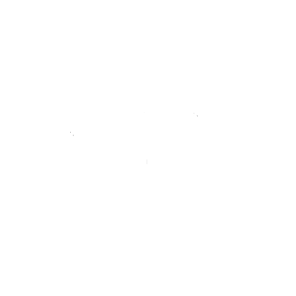 CCNc1cc(F)c2c(c1)OC(C)(C)C(C#N)=C2c1ccc(F)cc1